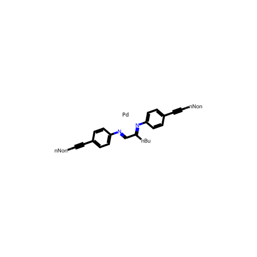 CCCCCCCCCC#Cc1ccc(N=CC(CCCC)=Nc2ccc(C#CCCCCCCCCC)cc2)cc1.[Pd]